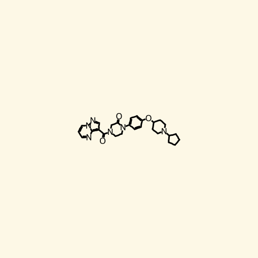 O=C(c1cnn2cccnc12)N1CCN(c2ccc(OC3CCN(C4CCCC4)CC3)cc2)C(=O)C1